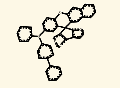 c1ccc(-c2ccc(N(c3ccccc3)c3ccc4c(c3)C3(c5cc6ccccc6cc5O4)c4ccccc4-c4ccccc43)cc2)cc1